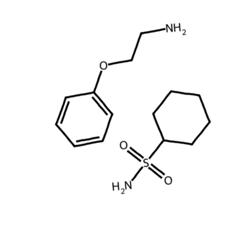 NCCOc1ccccc1.NS(=O)(=O)C1CCCCC1